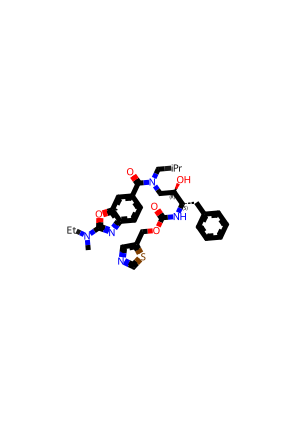 CCN(C)c1nc2ccc(C(=O)N(CC(C)C)C[C@@H](O)[C@H](Cc3ccccc3)NC(=O)OCc3cncs3)cc2o1